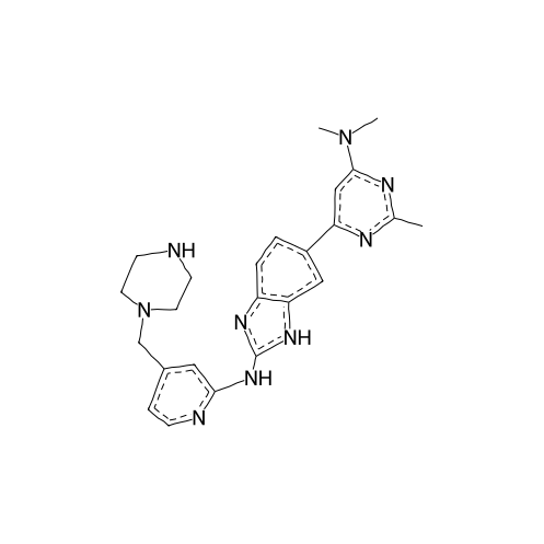 Cc1nc(-c2ccc3nc(Nc4cc(CN5CCNCC5)ccn4)[nH]c3c2)cc(N(C)C)n1